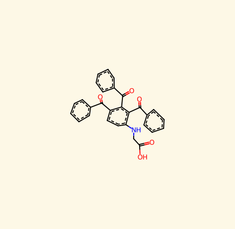 O=C(O)CNc1ccc(C(=O)c2ccccc2)c(C(=O)c2ccccc2)c1C(=O)c1ccccc1